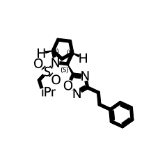 CC(C)CS(=O)(=O)N1[C@@H]2CC[C@@H](C2)[C@H]1c1nc(CCc2ccccc2)no1